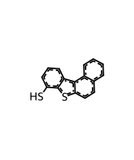 Sc1cccc2c1sc1ccc3ccccc3c12